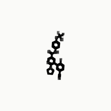 N#Cc1ccc(F)c(-c2cc(C(=O)Nc3ccc(OC(F)(F)Cl)cc3)cnc2N2CCCC2)c1